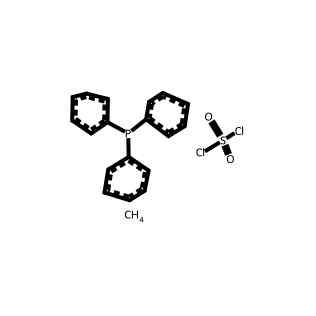 C.O=S(=O)(Cl)Cl.c1ccc(P(c2ccccc2)c2ccccc2)cc1